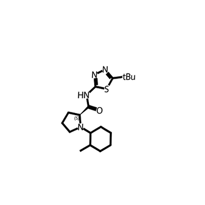 CC1CCCCC1N1CCC[C@H]1C(=O)Nc1nnc(C(C)(C)C)s1